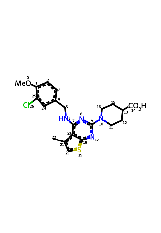 COc1ccc(CNc2nc(N3CCC(C(=O)O)CC3)nc3scc(C)c23)cc1Cl